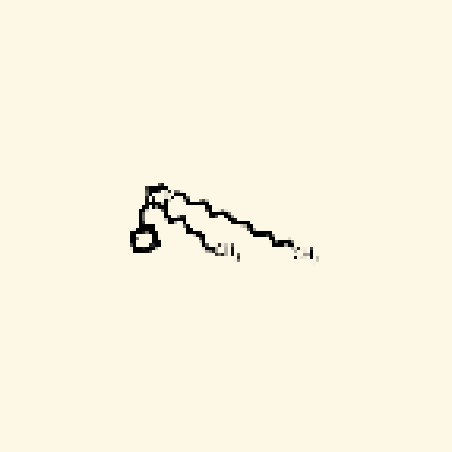 CCCCCCCCCCCCN1C=CN(Cc2ccccc2)C1CCCCCC